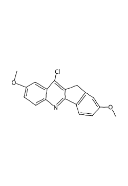 COc1ccc2c(c1)Cc1c-2nc2ccc(OC)cc2c1Cl